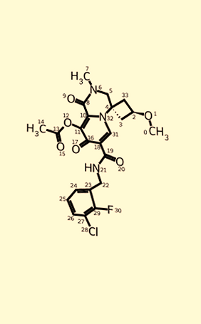 CO[C@H]1C[C@]2(CN(C)C(=O)c3c(OC(C)=O)c(=O)c(C(=O)NCc4cccc(Cl)c4F)cn32)C1